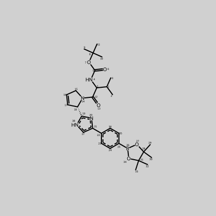 CC(C)C(NC(=O)OC(C)(C)C)C(=O)N1CC=C[C@H]1c1nc(-c2ccc(B3OC(C)(C)C(C)(C)O3)cc2)c[nH]1